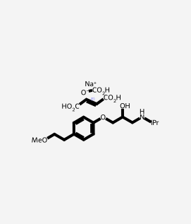 COCCc1ccc(OCC(O)CNC(C)C)cc1.O=C(O)/C=C/C(=O)O.O=C([O-])O.[Na+]